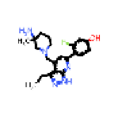 CCc1n[nH]c2nc(-c3ccc(O)cc3F)cc(CN3CCCC(C)(N)C3)c12